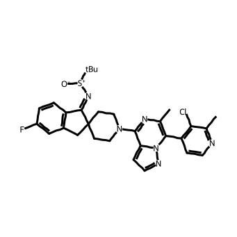 Cc1nccc(-c2c(C)nc(N3CCC4(CC3)Cc3cc(F)ccc3C4=N[S+]([O-])C(C)(C)C)c3ccnn23)c1Cl